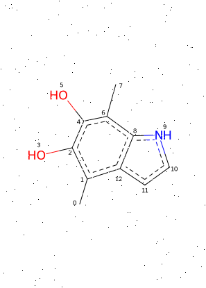 Cc1c(O)c(O)c(C)c2[nH]ccc12